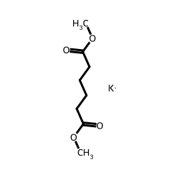 COC(=O)CCCCC(=O)OC.[K]